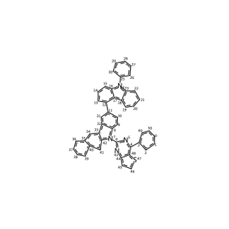 c1ccc(-c2nc(-n3c4ccc(-c5cccc6c5c5ccccc5n6-c5ccccc5)cc4c4cc5ccccc5cc43)nc3ccsc23)cc1